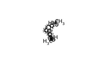 CC(=O)Nc1ccc2c(c1)CCc1ccccc1C2Cc1cccc(NS(C)(=O)=O)c1